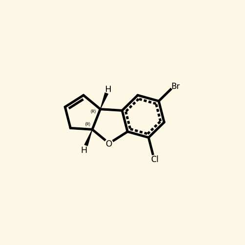 Clc1cc(Br)cc2c1O[C@@H]1CC=C[C@H]21